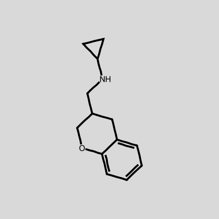 c1ccc2c(c1)CC(CNC1CC1)CO2